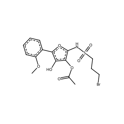 COc1ccccc1-c1oc(NS(=O)(=O)CCCBr)c(OC(C)=O)c1O